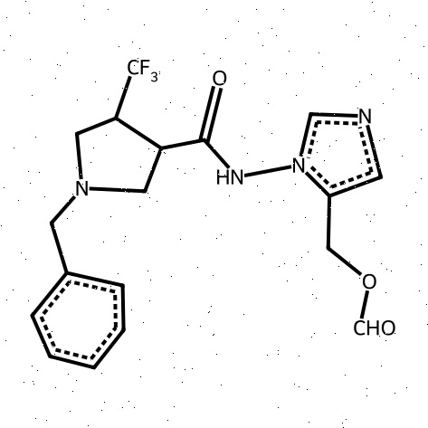 O=COCc1cncn1NC(=O)C1CN(Cc2ccccc2)CC1C(F)(F)F